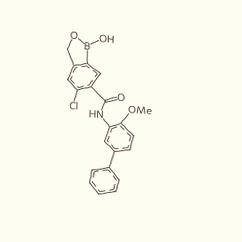 COc1ccc(-c2ccccc2)cc1NC(=O)c1cc2c(cc1Cl)COB2O